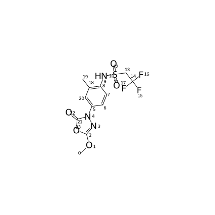 COc1nn(-c2ccc(NS(=O)(=O)CC(F)(F)F)c(C)c2)c(=O)o1